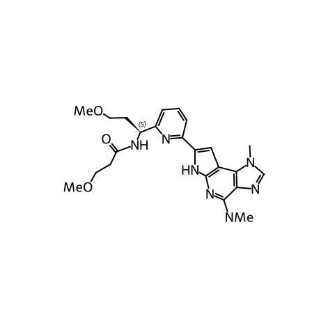 CNc1nc2[nH]c(-c3cccc([C@H](CCOC)NC(=O)CCOC)n3)cc2c2c1ncn2C